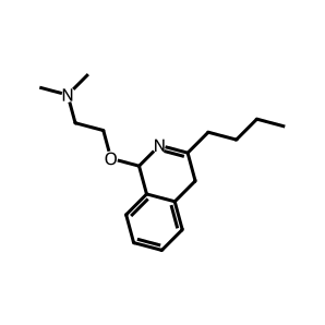 CCCCC1=NC(OCCN(C)C)c2ccccc2C1